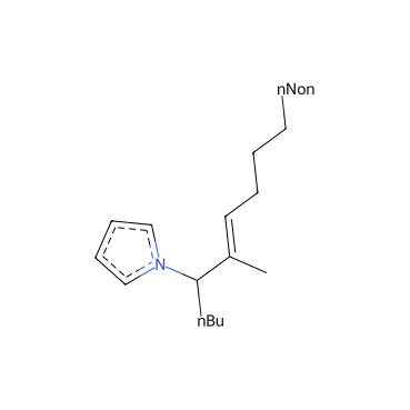 CCCCCCCCCCCCC=C(C)C(CCCC)n1cccc1